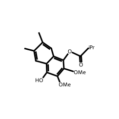 COc1c(OC)c(OC(=O)C(C)C)c2cc(C)c(C)cc2c1O